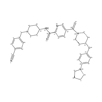 N#Cc1ccc(CN2CCC(NC(=O)c3ccc(C(=O)N4CCC(Oc5ccc(N6CCCC6)cc5)CC4)cn3)CC2)cc1